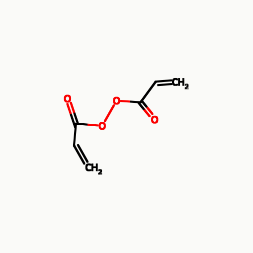 C=CC(=O)OOC(=O)C=C